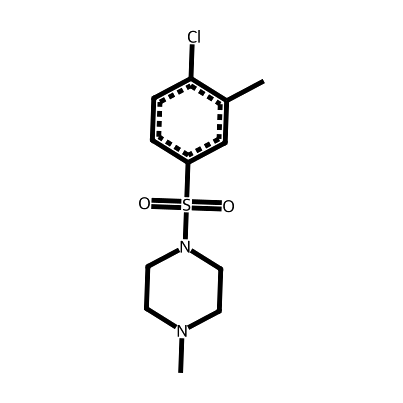 Cc1cc(S(=O)(=O)N2CCN(C)CC2)ccc1Cl